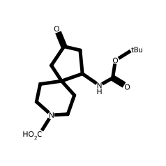 CC(C)(C)OC(=O)NC1CC(=O)CC12CCN(C(=O)O)CC2